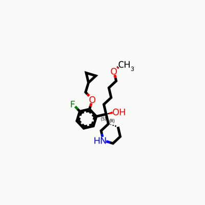 COCCCC[C@@](O)(c1cccc(F)c1OCC1CC1)[C@@H]1CCCNC1